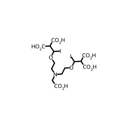 O=C(O)CN(CCOC(I)C(C(=O)O)C(=O)O)CCOC(I)C(C(=O)O)C(=O)O